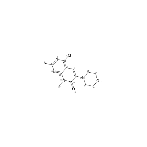 Cc1nc(Cl)c2cc(N3CCOCC3)c(=O)n(C)c2n1